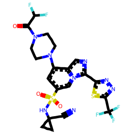 N#CC1(NS(=O)(=O)c2cc(N3CCN(C(=O)C(F)F)CC3)c3cnc(-c4nnc(C(F)(F)F)s4)n3c2)CC1